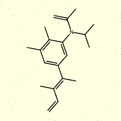 C=C/C(C)=C(\C)c1cc(C)c(C)c(N(C(=C)C)C(C)C)c1